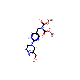 CC(C)(C)OC(=O)N(Cc1cnc(N2CCN[C@H](CO)C2)nc1)C(=O)OC(C)(C)C